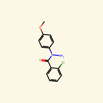 COc1ccc(N(N)C(=O)c2ccccc2Cl)cc1